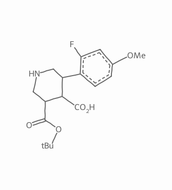 COc1ccc(C2CNCC(C(=O)OC(C)(C)C)C2C(=O)O)c(F)c1